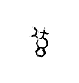 O=C(CBr)N1Cc2ccccc2CCC1C(F)(F)F